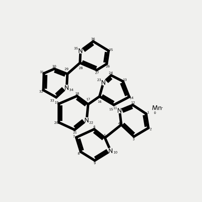 [Mn].c1ccc(-c2ccccn2)nc1.c1ccc(-c2ccccn2)nc1.c1ccc(-c2ccccn2)nc1